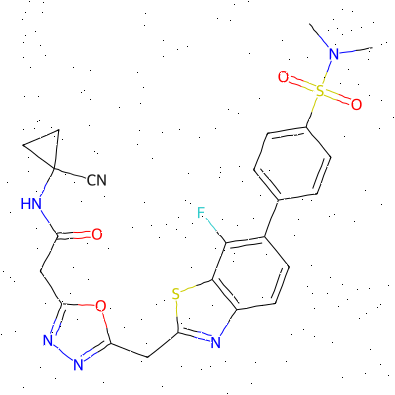 CN(C)S(=O)(=O)c1ccc(-c2ccc3nc(Cc4nnc(CC(=O)NC5(C#N)CC5)o4)sc3c2F)cc1